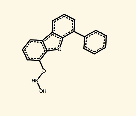 OBOc1cccc2c1oc1c(-c3ccccc3)cccc12